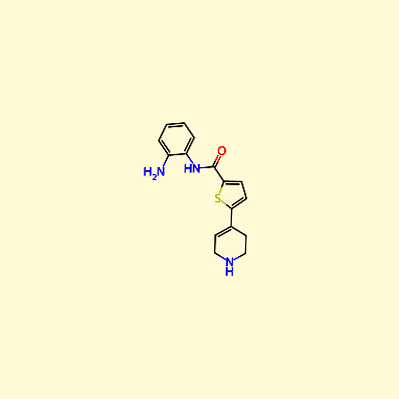 Nc1ccccc1NC(=O)c1ccc(C2=CCNCC2)s1